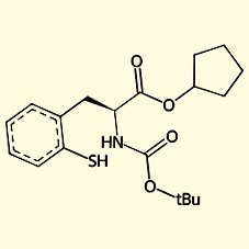 CC(C)(C)OC(=O)N[C@@H](Cc1ccccc1S)C(=O)OC1CCCC1